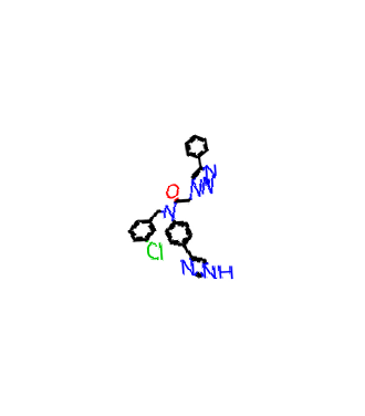 O=C(Cn1cc(-c2ccccc2)nn1)N(Cc1cccc(Cl)c1)c1ccc(-c2c[nH]cn2)cc1